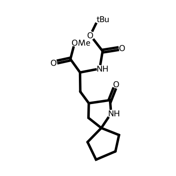 COC(=O)C(CC1CC2(CCCC2)NC1=O)NC(=O)OC(C)(C)C